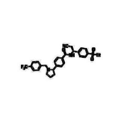 CCS(=O)(=O)c1ccc([C@H](CC#N)NC(=O)c2ccc(C3CCCN3Cc3ccc(C(F)(F)F)cc3)cc2)cc1